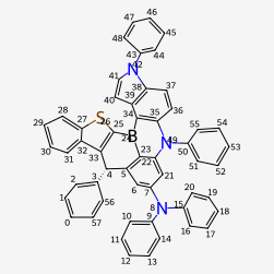 c1ccc([C@H]2c3cc(N(c4ccccc4)c4ccccc4)cc4c3B(c3sc5ccccc5c32)c2c(ccc3c2ccn3-c2ccccc2)N4c2ccccc2)cc1